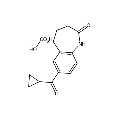 O=C(O)O.O=C1CCCc2cc(C(=O)C3CC3)ccc2N1